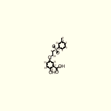 Cc1cccc(S(=O)(=O)CCOc2ccc(O)c(C(=O)O)c2)c1